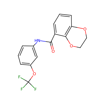 O=C(Nc1cccc(OC(F)(F)F)c1)c1cccc2c1OCCO2